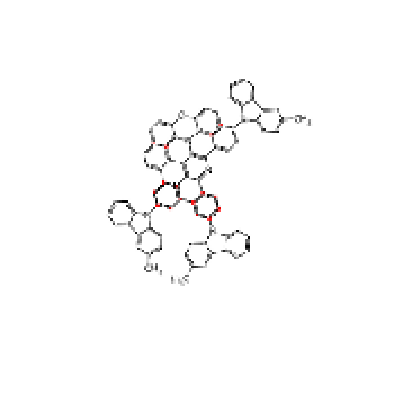 Cc1ccc2c(c1)c1ccccc1n2-c1ccc(-c2nc(-c3ccc(-n4c5ccccc5c5cc(C)ccc54)cc3)c(N3c4ccccc4Oc4ccccc43)c(-c3ccccc3-c3cccc(-c4ccccc4)n3)c2-c2ccc(-n3c4ccccc4c4cc(C)ccc43)cc2)cc1